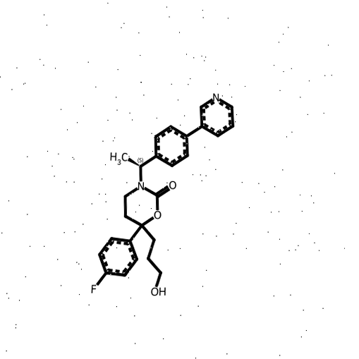 C[C@@H](c1ccc(-c2cccnc2)cc1)N1CCC(CCCO)(c2ccc(F)cc2)OC1=O